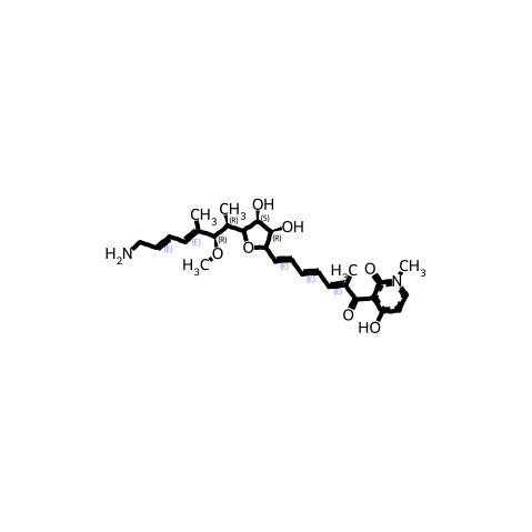 CO[C@@H](/C(C)=C/C=C/CN)[C@@H](C)C1OC(/C=C/C=C/C=C(\C)C(=O)c2c(O)ccn(C)c2=O)[C@H](O)[C@@H]1O